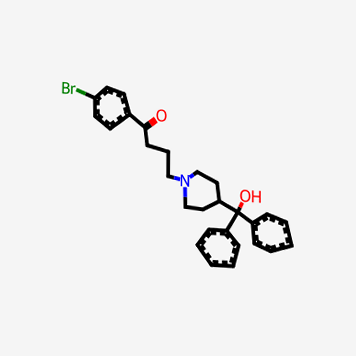 O=C(CCCN1CCC(C(O)(c2ccccc2)c2ccccc2)CC1)c1ccc(Br)cc1